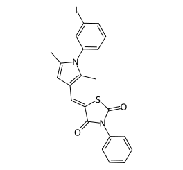 Cc1cc(C=C2SC(=O)N(c3ccccc3)C2=O)c(C)n1-c1cccc(I)c1